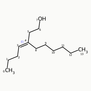 CCC/C=C(/CCO)CCCCCC